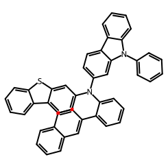 c1ccc(-n2c3ccccc3c3ccc(N(c4ccc5c(c4)sc4ccccc45)c4ccccc4-c4ccc5ccccc5c4)cc32)cc1